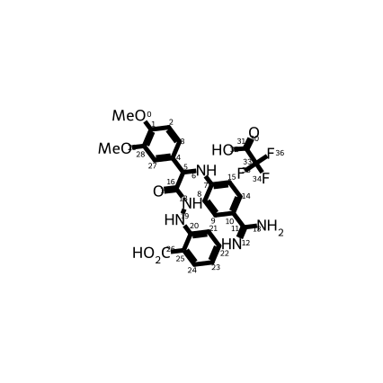 COc1ccc(C(Nc2ccc(C(=N)N)cc2)C(=O)NNc2ccccc2C(=O)O)cc1OC.O=C(O)C(F)(F)F